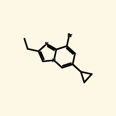 CCc1cn2cc(C3CC3)cc(Br)c2n1